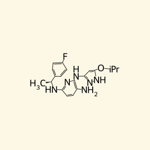 CC(C)Oc1cc(Nc2nc(N[C@@H](C)c3ccc(F)cc3)ccc2N)n[nH]1